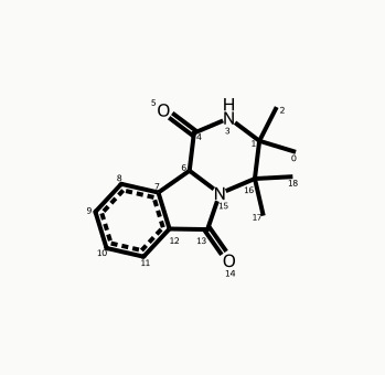 CC1(C)NC(=O)C2c3ccccc3C(=O)N2C1(C)C